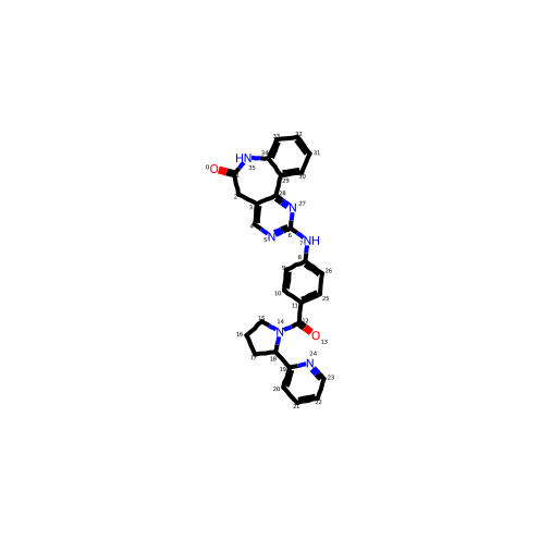 O=C1Cc2cnc(Nc3ccc(C(=O)N4CCCC4c4ccccn4)cc3)nc2-c2ccccc2N1